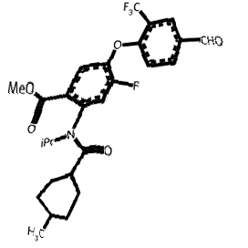 COC(=O)c1cc(Oc2ccc(C=O)cc2C(F)(F)F)c(F)cc1N(C(=O)C1CCC(C)CC1)C(C)C